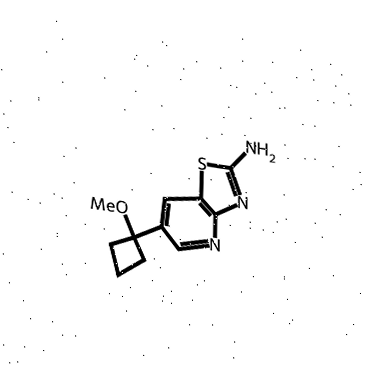 COC1(c2cnc3nc(N)sc3c2)CCC1